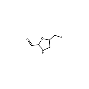 O=CC1NCC(CF)O1